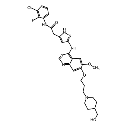 COc1cc2c(Nc3cc(CC(=O)Nc4cccc(Cl)c4F)[nH]n3)ncnc2cc1OCCCN1CCC(CO)CC1